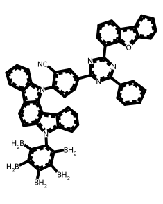 Bc1c(B)c(B)c(-n2c3ccccc3c3c2ccc2c4ccccc4n(-c4ccc(-c5nc(-c6ccccc6)nc(-c6cccc7c6oc6ccccc67)n5)cc4C#N)c23)c(B)c1B